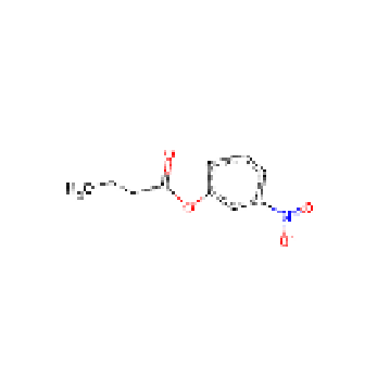 CCCC(=O)Oc1cccc([N+](=O)[O-])c1